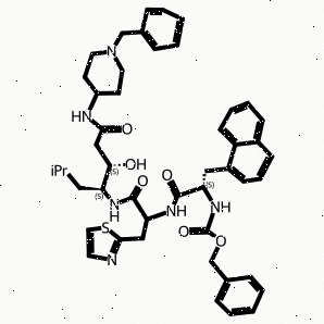 CC(C)C[C@H](NC(=O)C(Cc1nccs1)NC(=O)[C@H](Cc1cccc2ccccc12)NC(=O)OCc1ccccc1)[C@@H](O)CC(=O)NC1CCN(Cc2ccccc2)CC1